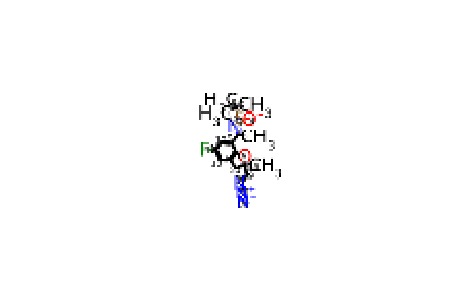 C/C(=N\[S@+]([O-])C(C)(C)C)c1cc(F)cc2c1O[C@](C)(CN=[N+]=[N-])C2